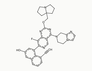 C#Cc1cccc2cc(O)cc(-c3ncc4c(N5CCn6ccnc6C5)nc(OCC56CCCN5CCC6)nc4c3F)c12